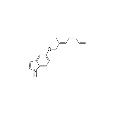 C=C/C=C\C=C(/C)COc1ccc2[nH]ccc2c1